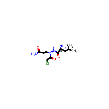 CC(C)C[C@H](N)C(=O)NN(CCC(N)=O)C(=O)CCl